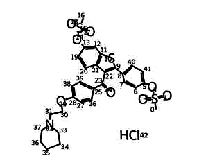 CS(=O)(=O)Oc1ccc(-c2sc3cc(OS(C)(=O)=O)ccc3c2C(=O)c2ccc(OCCN3CCCCC3)cc2)cc1.Cl